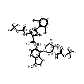 C[C@H]1CN(c2c(NC(=O)c3nc(-c4c(F)cccc4F)sc3NC(=O)OC(C)(C)C)cnc3c2CCC3O)C[C@@H](NC(=O)OC(C)(C)C)[C@@H]1O